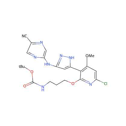 COc1cc(Cl)nc(OCCCNC(=O)OC(C)(C)C)c1-c1cc(Nc2cnc(C#N)cn2)n[nH]1